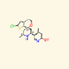 Cc1cc(O)ncc1[C@@H]1C[C@]2(C[C@H](C)N1)OCCc1cc(Cl)sc12